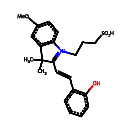 COc1ccc2c(c1)C(C)(C)C(/C=C/c1ccccc1O)=[N+]2CCCS(=O)(=O)O